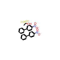 CCO.O=[N+]([O-])c1ccc(-c2ccccc2)cc1.O=[N+]([O-])c1ccc(-c2ccccc2)cc1.SS